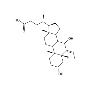 C/C=C1/C(O)C2C3CC[C@H]([C@H](C)CCC(=O)O)[C@@]3(C)CCC2[C@@]2(C)CC[C@@H](O)C[C@@H]12